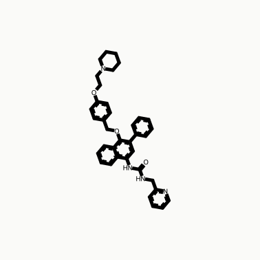 O=C(NCc1ccccn1)Nc1cc(-c2ccccc2)c(OCc2ccc(OCCN3CCCCC3)cc2)c2ccccc12